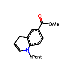 CCCCCN1C=CCc2cc(C(=O)OC)ccc21